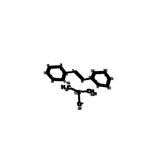 C(=Cc1ccccc1)c1ccccc1.C[S+](C)[O-]